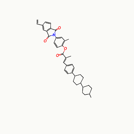 C=Cc1ccc2c(c1)C(=O)N(c1ccc(OC(=O)/C(C)=C/c3ccc(C4CCC(C5CCC(C)CC5)CC4)cc3)c(C)c1)C2=O